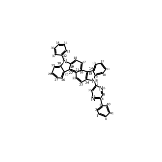 c1ccc(-c2cnc(-n3c4ccccc4c4c5ccc6c(c5ccc43)c3ccccc3n6-c3ccccc3)cn2)cc1